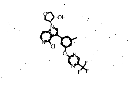 Cc1cc(Oc2cnc(C(F)(F)F)cn2)cc(-c2cn([C@H]3COC[C@@H]3O)c3ccnc(Cl)c23)c1